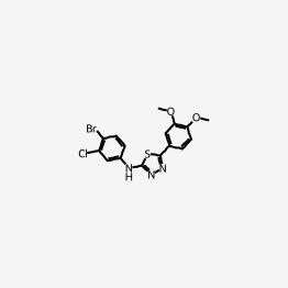 COc1ccc(-c2nnc(Nc3ccc(Br)c(Cl)c3)s2)cc1OC